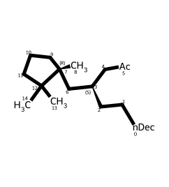 CCCCCCCCCCCC[C@H](CC(C)=O)C[C@@]1(C)CCCC1(C)C